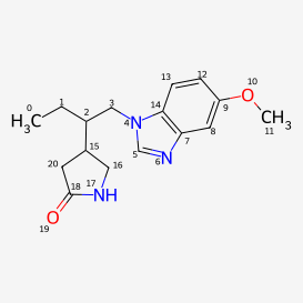 CCC(Cn1cnc2cc(OC)ccc21)C1CNC(=O)C1